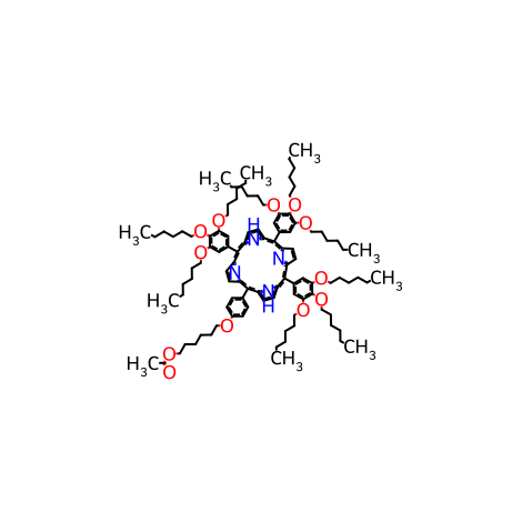 CCCCCCOc1cc(-c2c3nc(c(-c4cc(OCCCCCC)c(OCCCCCC)c(OCCCCCC)c4)c4ccc([nH]4)c(-c4cc(OCCCCCC)c(OCCCCCC)c(OCCCCCC)c4)c4nc(c(-c5ccc(OCCCCCCOC(C)=O)cc5)c5ccc2[nH]5)C=C4)C=C3)cc(OCCCCCC)c1OCCCCCC